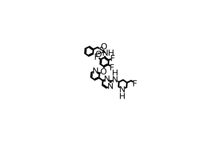 O=S(=O)(Cc1ccccc1)Nc1c(F)cc(Oc2ncccc2-c2ccnc(N[C@@H]3CNCC(CF)C3)n2)c(F)c1F